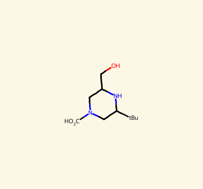 CC(C)(C)C1CN(C(=O)O)CC(CO)N1